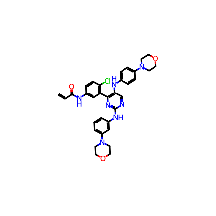 C=CC(=O)Nc1ccc(Cl)c(-c2nc(Nc3cccc(N4CCOCC4)c3)ncc2Nc2ccc(N3CCOCC3)cc2)c1